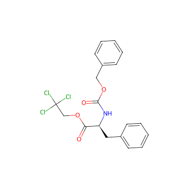 O=C(N[C@@H](Cc1ccccc1)C(=O)OCC(Cl)(Cl)Cl)OCc1ccccc1